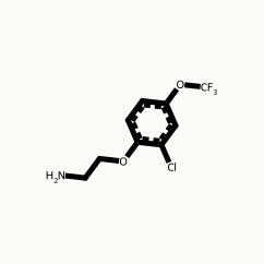 NCCOc1ccc(OC(F)(F)F)cc1Cl